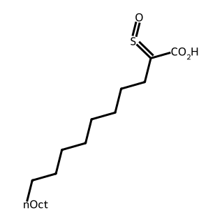 CCCCCCCCCCCCCCCCC(=S=O)C(=O)O